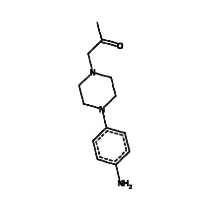 CC(=O)CN1CCN(c2ccc(N)cc2)CC1